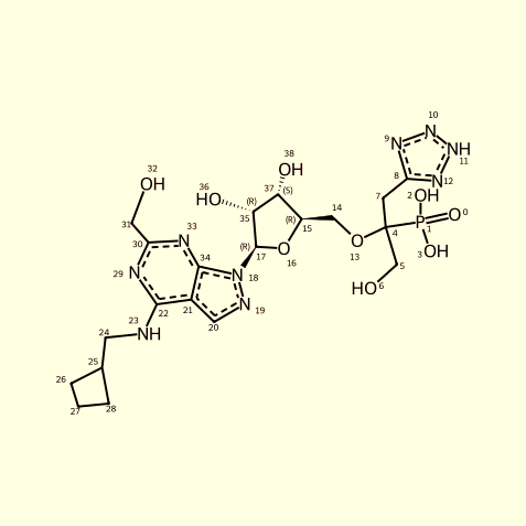 O=P(O)(O)C(CO)(Cc1nn[nH]n1)OC[C@H]1O[C@@H](n2ncc3c(NCC4CCC4)nc(CO)nc32)[C@H](O)[C@@H]1O